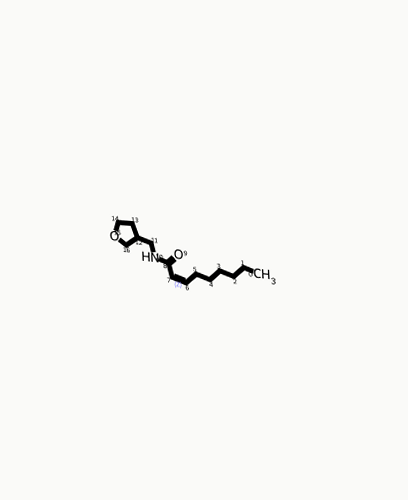 CCCCCC/C=C\C(=O)NCC1CCOC1